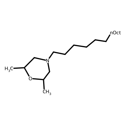 CCCCCCCCCCCCCCN1CC(C)OC(C)C1